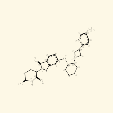 O=C1CCC(N2Cc3cc(O[C@@H]4CCCC[C@@H]4N4CC(c5ccc(C(F)(F)F)cn5)C4)ccc3C2=O)C(=O)N1